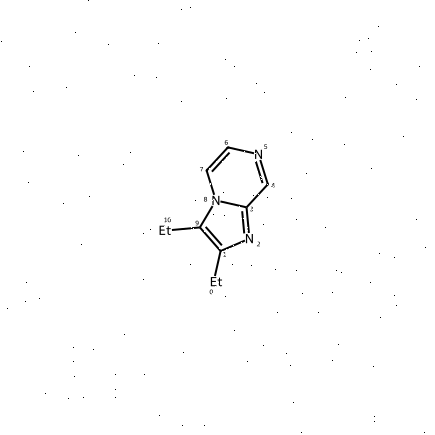 CCc1nc2cnccn2c1CC